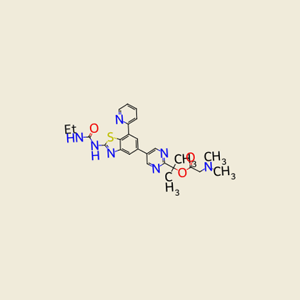 CCNC(=O)Nc1nc2cc(-c3cnc(C(C)(C)OC(=O)CN(C)C)nc3)cc(-c3ccccn3)c2s1